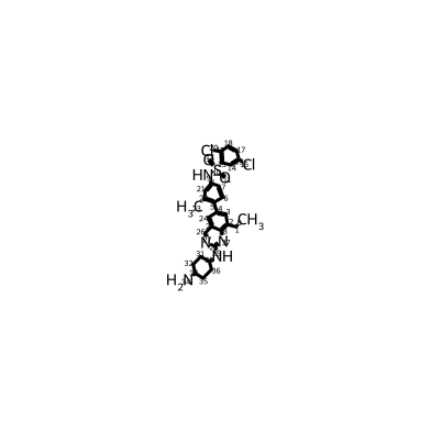 CCc1cc(-c2ccc(NS(=O)(=O)c3cc(Cl)ccc3Cl)cc2C)cc2cnc(NC3CCC(N)CC3)nc12